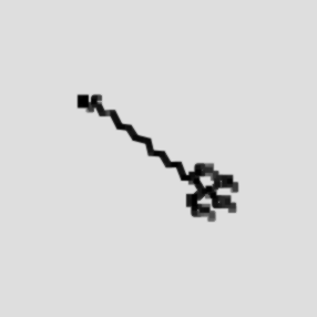 CCCCCCCCCCCCN(C)/C(=N/C)N(C)C